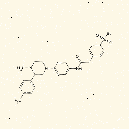 CCS(=O)(=O)c1ccc(CC(=O)Nc2ccc(N3CCN(C)C(c4ccc(C(F)(F)F)cc4)C3)nc2)cc1